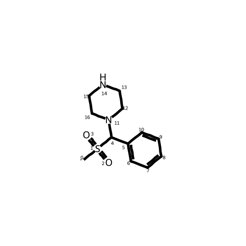 [CH2]S(=O)(=O)C(c1ccccc1)N1CCNCC1